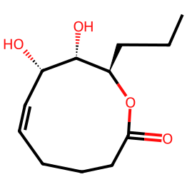 CCC[C@H]1OC(=O)CCC/C=C\[C@H](O)[C@@H]1O